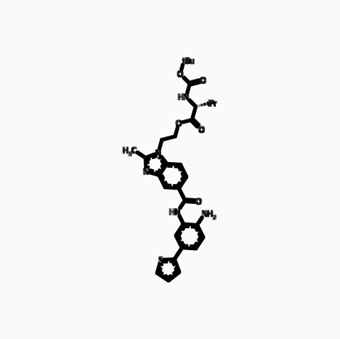 Cc1nc2cc(C(=O)Nc3cc(-c4cccs4)ccc3N)ccc2n1CCOC(=O)[C@H](NC(=O)OC(C)(C)C)C(C)C